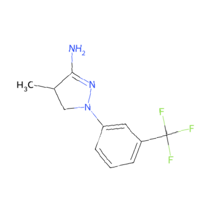 CC1CN(c2cccc(C(F)(F)F)c2)N=C1N